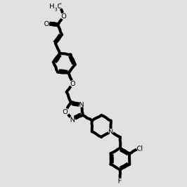 COC(=O)C=Cc1ccc(OCc2nc(C3CCN(Cc4ccc(F)cc4Cl)CC3)no2)cc1